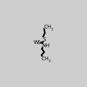 CCCCNC(=S)SCCCC.[W]